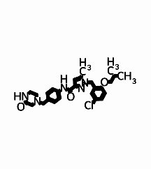 Cc1cc(C(=O)Nc2ccc(CN3CCNC(=O)C3)cc2)nn1Cc1cc(Cl)ccc1OCC(C)C